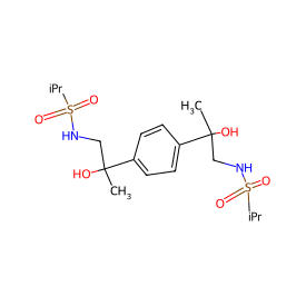 CC(C)S(=O)(=O)NCC(C)(O)c1ccc(C(C)(O)CNS(=O)(=O)C(C)C)cc1